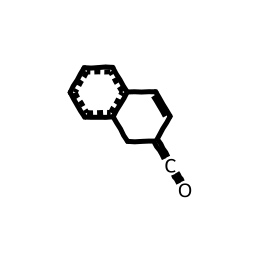 O=C=C1C=Cc2ccccc2C1